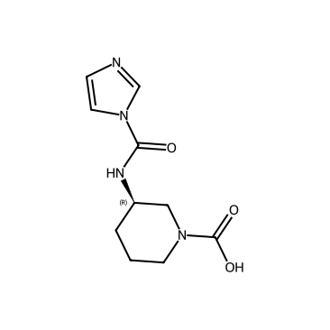 O=C(O)N1CCC[C@@H](NC(=O)n2ccnc2)C1